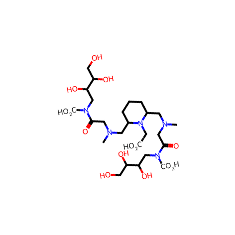 CN(CC(=O)N(CC(O)C(O)CO)C(=O)O)CC1CCCC(CN(C)CC(=O)N(CC(O)C(O)CO)C(=O)O)N1CC(=O)O